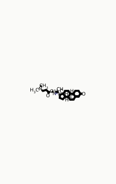 C/C(=N\OC(=O)CCN(C)C)[C@H]1CC[C@H]2[C@@H]3CCC4=CC(=O)CC[C@]4(C)[C@H]3CC[C@]12C